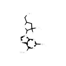 COc1nc(N)nc2c1ncn2C1OC(CO)CC1(C)F